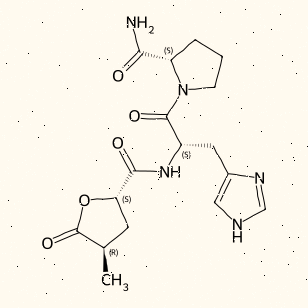 C[C@@H]1C[C@@H](C(=O)N[C@@H](Cc2c[nH]cn2)C(=O)N2CCC[C@H]2C(N)=O)OC1=O